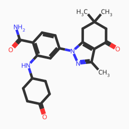 Cc1nn(-c2ccc(C(N)=O)c(NC3CCC(=O)CC3)c2)c2c1C(=O)CC(C)(C)C2